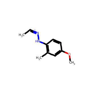 C/C=N\Nc1ccc(OC)cc1C